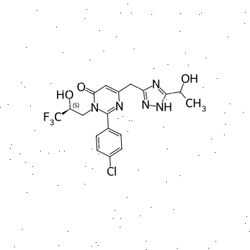 CC(O)c1nc(Cc2cc(=O)n(C[C@H](O)C(F)(F)F)c(-c3ccc(Cl)cc3)n2)n[nH]1